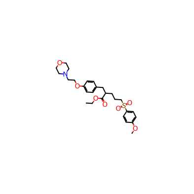 CCOC(=O)C(CCCS(=O)(=O)c1ccc(OC)cc1)Cc1ccc(OCCN2CCOCC2)cc1